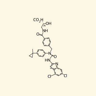 CC1(c2ccc(N(Cc3ccc(C(=O)NC[C@@H](O)C(=O)O)cc3)C(=O)Nc3nc4cc(Cl)cc(Cl)c4s3)cc2)CC1